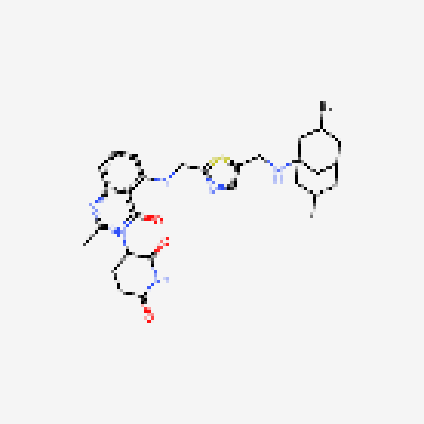 CCC1CC2CC(C)CC(NCc3cnc(CNc4cccc5nc(C)n(C6CCC(=O)NC6=O)c(=O)c45)s3)(C1)C2